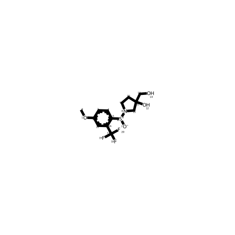 COc1ccc([S+]([O-])N2CCC(O)(CO)C2)c(C(F)(F)F)c1